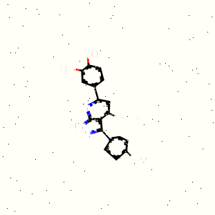 COc1ccc(-c2n[nH]c3nc(-c4ccc(O)c(O)c4)cc(C(=O)O)c23)cc1